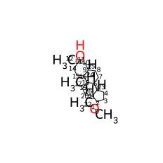 CO[C@H]1CC[C@H]2[C@@H]3CC[C@H]4C[C@](C)(O)CC[C@]4(C)[C@H]3CC[C@]12C